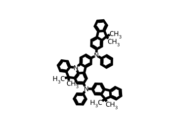 CC1(C)c2ccccc2-c2ccc(N(c3ccccc3)c3ccc4c(c3)c3cc(N(c5ccccc5)c5ccc6c(c5)C(C)(C)c5ccccc5-6)cc5c3n4-c3ccccc3C5(C)C)cc21